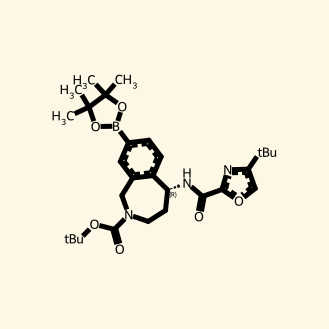 CC(C)(C)OC(=O)N1CC[C@@H](NC(=O)c2nc(C(C)(C)C)co2)c2ccc(B3OC(C)(C)C(C)(C)O3)cc2C1